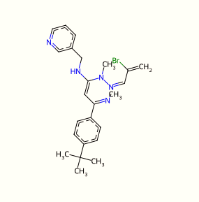 C=C(Br)/C=N\N(C)/C(=C\C(=N/C)c1ccc(C(C)(C)C)cc1)NCc1cccnc1